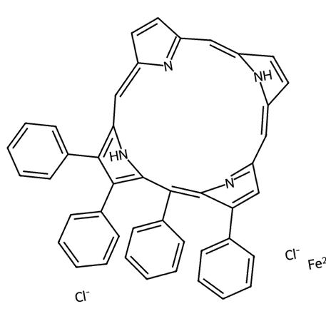 C1=Cc2cc3[nH]c(c(-c4ccccc4)c4nc(cc5ccc(cc1n2)[nH]5)C=C4c1ccccc1)c(-c1ccccc1)c3-c1ccccc1.[Cl-].[Cl-].[Fe+2]